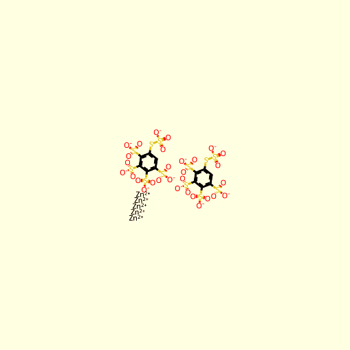 O=S(=O)([O-])Sc1cc(S(=O)(=O)[O-])c(S(=O)(=O)[O-])c(S(=O)(=O)[O-])c1S(=O)(=O)[O-].O=S(=O)([O-])Sc1cc(S(=O)(=O)[O-])c(S(=O)(=O)[O-])c(S(=O)(=O)[O-])c1S(=O)(=O)[O-].[Zn+2].[Zn+2].[Zn+2].[Zn+2].[Zn+2]